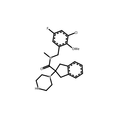 COc1c(Cl)cc(F)cc1CN(C)C(=O)C1(N2CCNCC2)Cc2ccccc2C1